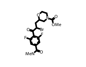 CNC(=O)c1cc(F)c(C(=O)C(Br)CC2CN(C(=O)OC)CCO2)c(F)c1